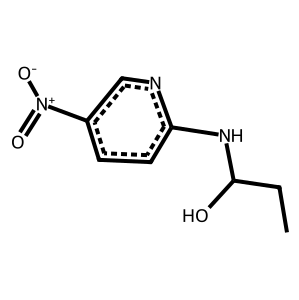 CCC(O)Nc1ccc([N+](=O)[O-])cn1